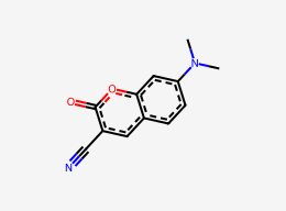 CN(C)c1ccc2cc(C#N)c(=O)oc2c1